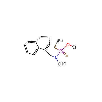 CCOP(=S)(SC(C)CC)N(C=O)Cc1cccc2ccccc12